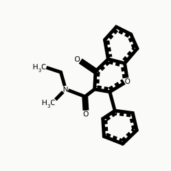 CCN(C)C(=O)c1c(-c2ccccc2)oc2ccccc2c1=O